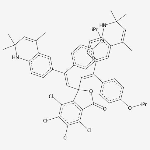 CC1=CC(C)(C)Nc2ccc(/C(=C/C3(/C=C(\c4ccc(OC(C)C)cc4)c4ccc5c(c4)C(C)=CC(C)(C)N5)OC(=O)c4c(Cl)c(Cl)c(Cl)c(Cl)c43)c3ccc(OC(C)C)cc3)cc21